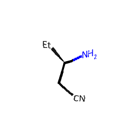 CC[C@@H](N)CC#N